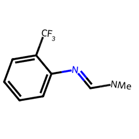 CNC=Nc1ccccc1C(F)(F)F